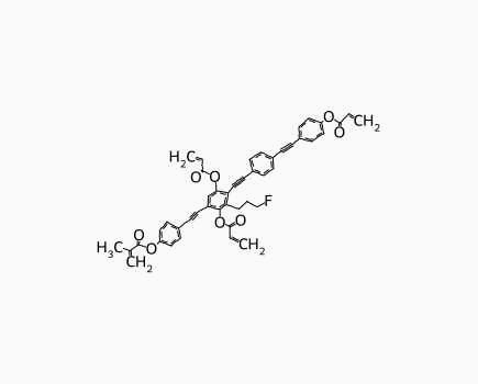 C=CC(=O)Oc1ccc(C#Cc2ccc(C#Cc3c(OC(=O)C=C)cc(C#Cc4ccc(OC(=O)C(=C)C)cc4)c(OC(=O)C=C)c3CCCF)cc2)cc1